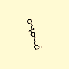 O=C(NCCN1CCCCC1)c1ccc(OCCCC2CCCNC2)cc1